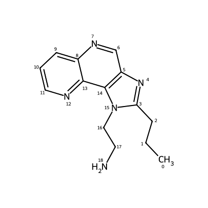 CCCc1nc2cnc3cccnc3c2n1CCN